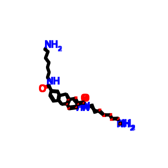 NCCCCCCCNC(=O)c1ccc2c(c1)C1c3cc(C(=O)NCCCCCCCN)ccc3C2c2ccc(C(=O)NCCCCCCCN)cc21